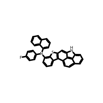 Fc1ccc(N(c2cccc3ccccc23)c2cccc3c2sc2cc4[nH]c5cccc6ccc(c23)c4c65)cc1